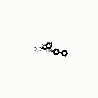 O=C(O)c1cc2c(Nc3ccc(-c4ccccc4)cc3)cncc2s1